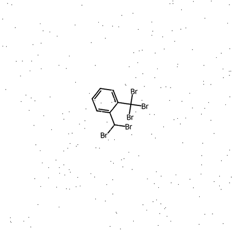 BrC(Br)c1ccccc1C(Br)(Br)Br